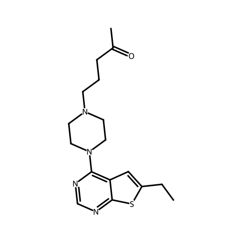 CCc1cc2c(N3CCN(CCCC(C)=O)CC3)ncnc2s1